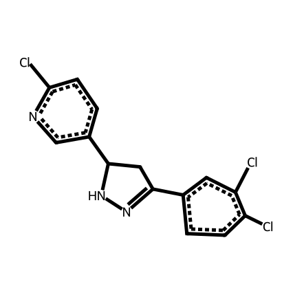 Clc1ccc(C2CC(c3ccc(Cl)c(Cl)c3)=NN2)cn1